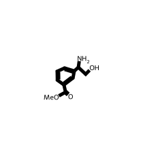 COC(=O)c1cccc(C(N)CO)c1